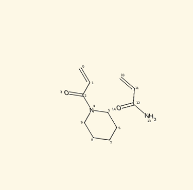 C=CC(=O)N1CCCCC1.C=CC(N)=O